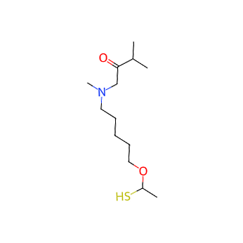 CC(S)OCCCCCN(C)CC(=O)C(C)C